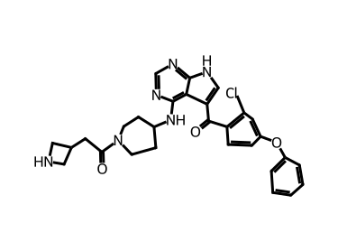 O=C(c1ccc(Oc2ccccc2)cc1Cl)c1c[nH]c2ncnc(NC3CCN(C(=O)CC4CNC4)CC3)c12